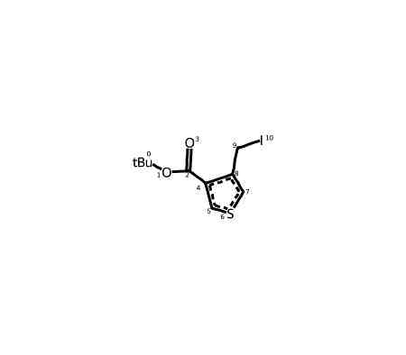 CC(C)(C)OC(=O)c1cscc1CI